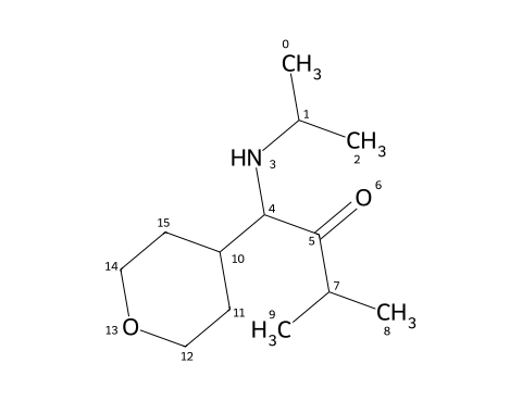 CC(C)NC(C(=O)C(C)C)C1CCOCC1